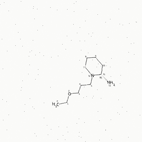 CCOCCCN1CCCC[C@@H]1N